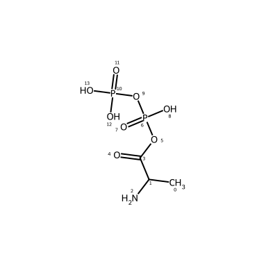 CC(N)C(=O)OP(=O)(O)OP(=O)(O)O